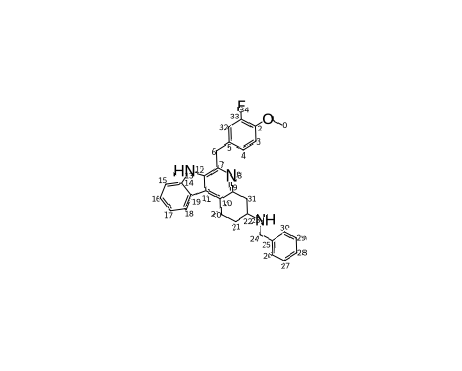 COc1ccc(Cc2nc3c(c4c2[nH]c2ccccc24)CCC(NCc2ccccc2)C3)cc1F